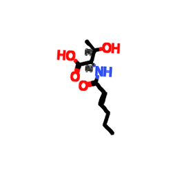 CCCC=CC(=O)N[C@H](C(=O)O)[C@@H](C)O